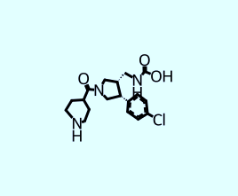 O=C(O)NC[C@H]1CN(C(=O)C2CCNCC2)C[C@H]1c1ccc(Cl)cc1